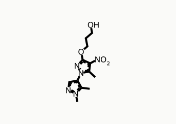 Cc1c(-n2nc(OCCCO)c([N+](=O)[O-])c2C)cnn1C